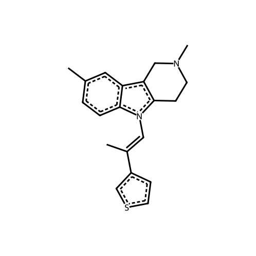 CC(=Cn1c2c(c3cc(C)ccc31)CN(C)CC2)c1ccsc1